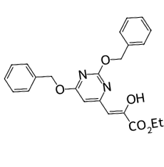 CCOC(=O)/C(O)=C/c1cc(OCc2ccccc2)nc(OCc2ccccc2)n1